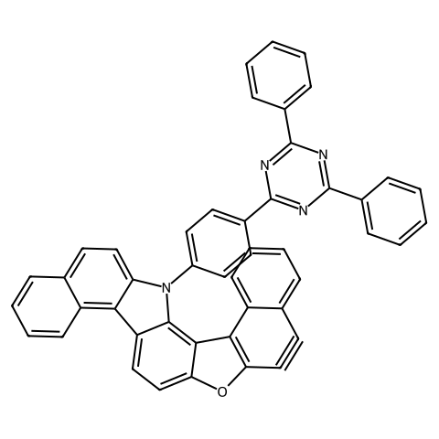 c1c2ccccc2c2c(c#1)oc1ccc3c4c5ccccc5ccc4n(-c4ccc(-c5nc(-c6ccccc6)nc(-c6ccccc6)n5)cc4)c3c12